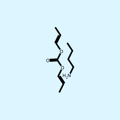 CC=COC(=O)OC=CC.CCCCN